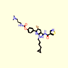 CN(C)CCCNC(=O)Oc1ccc(-c2nc3c(cc2Br)c(NC(=O)c2cnsc2)nn3CCCCC2CC2)cc1